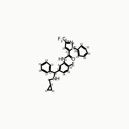 O=C(Nc1cc(C(NCC2CC2)c2ccccc2)ccc1F)c1cc(C(F)(F)F)nn1-c1c[c]ccc1